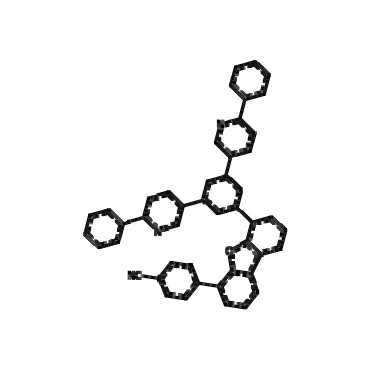 N#Cc1ccc(-c2cccc3c2oc2c(-c4cc(-c5ccc(-c6ccccc6)nc5)cc(-c5ccc(-c6ccccc6)nc5)c4)cccc23)cc1